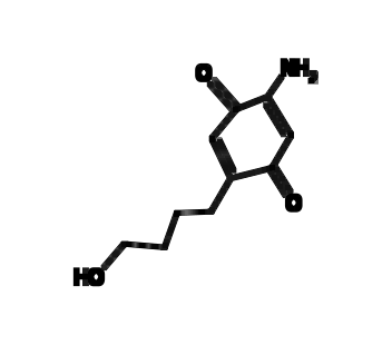 NC1=CC(=O)C(CCCCO)=CC1=O